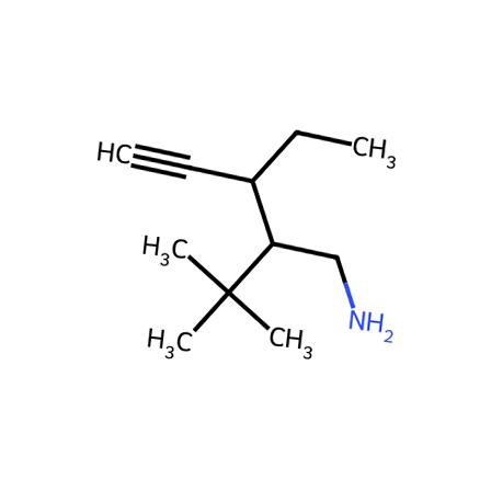 C#CC(CC)C(CN)C(C)(C)C